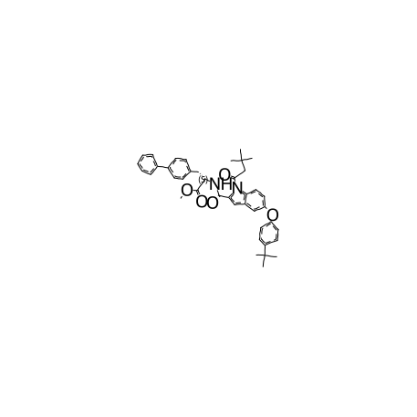 COC(=O)[C@H](Cc1ccc(-c2ccccc2)cc1)NC(=O)c1cc2cc(Oc3ccc(C(C)(C)C)cc3)ccc2n1C(=O)CC(C)(C)C